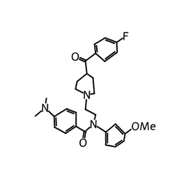 COc1cccc(N(CCN2CCC(C(=O)c3ccc(F)cc3)CC2)C(=O)c2ccc(N(C)C)cc2)c1